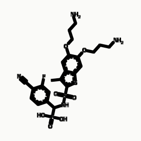 Cc1c(S(=O)(=O)NC(c2ccc(C#N)c(F)c2)P(=O)(O)O)sc2cc(OCCCN)c(OCCCN)cc12